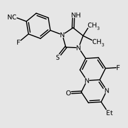 CCc1cc(=O)n2cc(N3C(=S)N(c4ccc(C#N)c(F)c4)C(=N)C3(C)C)cc(F)c2n1